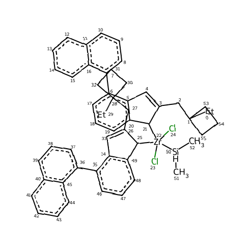 CCC1(CC2=Cc3c(-c4cccc5ccccc45)cccc3[CH]2[Zr]([Cl])([Cl])([CH]2C(CC3(CC)CCC3)=Cc3c(-c4cccc5ccccc45)cccc32)[SiH](C)C)CCC1